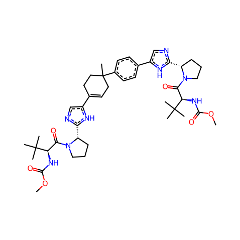 COC(=O)N[C@H](C(=O)N1CCC[C@H]1c1ncc(C2=CCC(C)(c3ccc(-c4cnc([C@@H]5CCCN5C(=O)[C@@H](NC(=O)OC)C(C)(C)C)[nH]4)cc3)CC2)[nH]1)C(C)(C)C